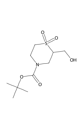 CC(C)(C)OC(=O)N1CCS(=O)(=O)C(CO)C1